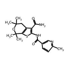 Cc1ccc(C(=O)Nc2sc3c(c2C(N)=O)CC(C)(C)OC3(C)C)cn1